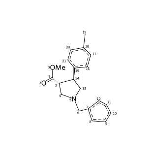 COC(=O)[C@H]1CN(Cc2ccccc2)C[C@@H]1c1ccc(C)cc1